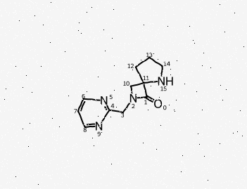 O=C1N(Cc2ncccn2)CC12CCCN2